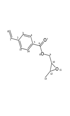 C=Cc1ccc(C(=O)OCC2OC2C)cc1